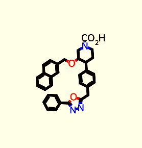 O=C(O)N1CCC(c2ccc(Cc3nnc(-c4ccccc4)o3)cc2)C(OCc2ccc3ccccc3c2)C1